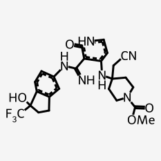 COC(=O)N1CCC(CC#N)(Nc2cc[nH]c(=O)c2C(=N)Nc2ccc3c(c2)CCC3(O)C(F)(F)F)CC1